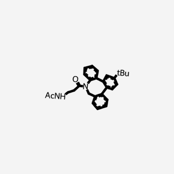 CC(=O)NCCC(=O)N1Cc2ccccc2-c2ccc(C(C)(C)C)cc2-c2ccccc21